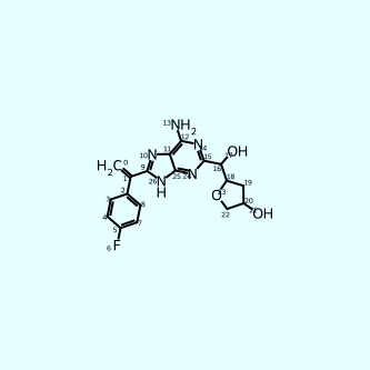 C=C(c1ccc(F)cc1)c1nc2c(N)nc(C(O)C3CC(O)CO3)nc2[nH]1